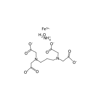 O.O=C([O-])CN(CCCN(CC(=O)[O-])CC(=O)[O-])CC(=O)[O-].[Fe+3].[NH4+]